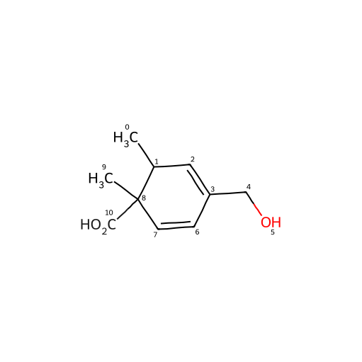 CC1C=C(CO)C=CC1(C)C(=O)O